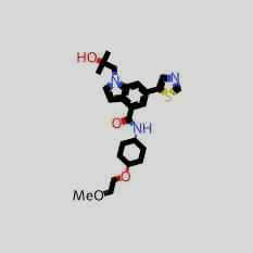 COCCO[C@H]1CC[C@H](NC(=O)c2cc(-c3cncs3)cc3c2ccn3CC(C)(C)O)CC1